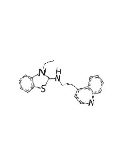 CCN1c2ccccc2SC1NC=Cc1ccnc2ccccc12